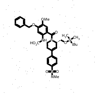 CNS(=O)(=O)c1ccc(C2=C[C@@H](CO[Si](C)(C)C(C)(C)C)N(C(=O)c3cc(OC)c(OCc4ccccc4)cc3NC(=O)O)CC2)cc1